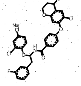 O=C(NC(Cc1cccc(F)c1)Oc1ccc(Cl)cc1Cl)c1ccc(Oc2cc3c(cc2Cl)C(C(=O)[O-])CCO3)cc1.[Na+]